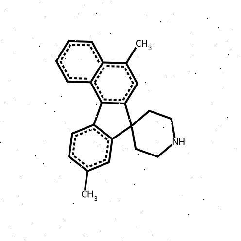 Cc1ccc2c(c1)C1(CCNCC1)c1cc(C)c3ccccc3c1-2